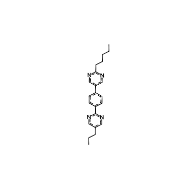 CCCCCc1ncc(-c2ccc(-c3ncc(CCC)cn3)cc2)cn1